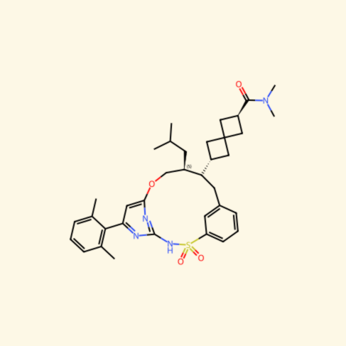 Cc1cccc(C)c1-c1cc2nc(n1)NS(=O)(=O)c1cccc(c1)CC([C@H]1CC3(C[C@H](C(=O)N(C)C)C3)C1)[C@H](CC(C)C)CO2